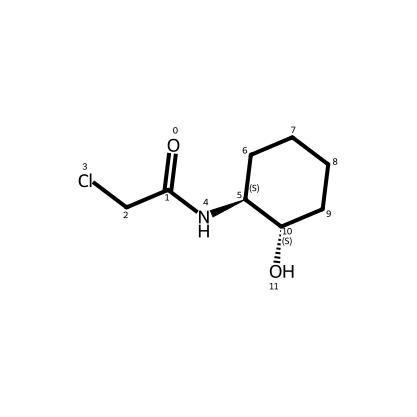 O=C(CCl)N[C@H]1CCCC[C@@H]1O